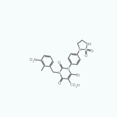 CCc1c(C(=O)O)c(=O)n(Cc2cccc([N+](=O)[O-])c2C)c(=O)n1-c1ccc(N2CCNS2(=O)=O)cc1